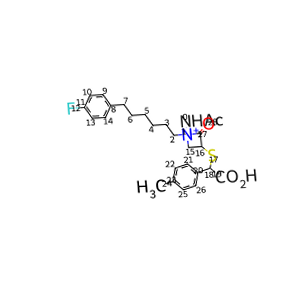 CC(=O)N[N+]1(CCCCCCc2ccc(F)cc2)CC(SC(C(=O)O)c2ccc(C)cc2)C1=O